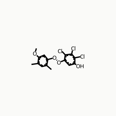 COc1cc(OOc2cc(O)c(Cl)c(Cl)c2Cl)c(C)cc1C